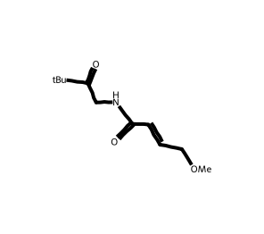 COC/C=C/C(=O)NCC(=O)C(C)(C)C